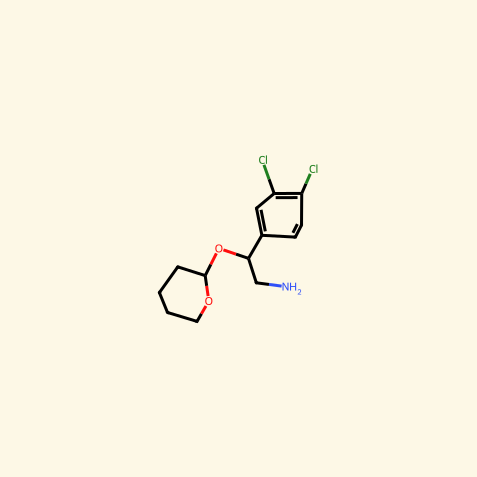 NCC(OC1CCCCO1)c1ccc(Cl)c(Cl)c1